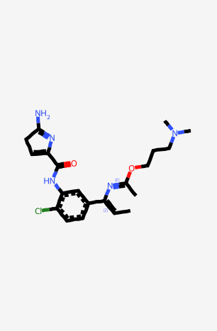 C/C=C(\N=C(/C)OCCCN(C)C)c1ccc(Cl)c(NC(=O)C2=CCC(N)=N2)c1